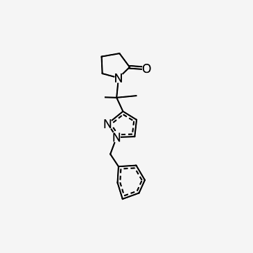 CC(C)(c1ccn(Cc2ccccc2)n1)N1CCCC1=O